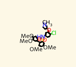 COc1ccc(-c2cc(OC)c(OC)cc2S(=O)(=O)Nc2ccc(Cl)c(O[C@@H]3CCN(C)C3)c2)cc1OC